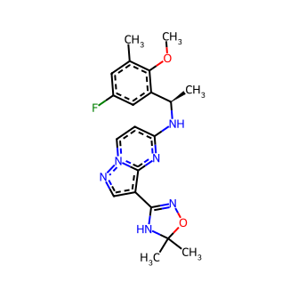 COc1c(C)cc(F)cc1[C@@H](C)Nc1ccn2ncc(C3=NOC(C)(C)N3)c2n1